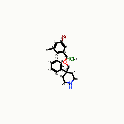 Cc1cc(Br)cc(COCC2(c3ccccc3)CCNCC2)c1.Cl